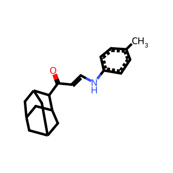 Cc1ccc(N/C=C/C(=O)C2C3CC4CC(C3)CC2C4)cc1